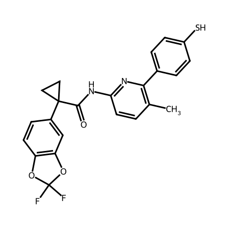 Cc1ccc(NC(=O)C2(c3ccc4c(c3)OC(F)(F)O4)CC2)nc1-c1ccc(S)cc1